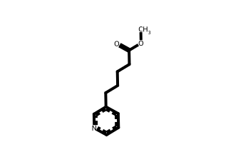 COC(=O)CCCCc1cccnc1